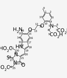 Cc1ccc(N(CC(=O)O)CC(=O)O)c(OCCOc2cc3cc(C=C4C(=O)N(CC(=O)O)C(=S)N4CC(=O)O)[nH]c3cc2N)c1